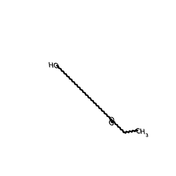 CCCCCCCC/C=C\CCCCCCCC(=O)OCCCCCCCCCCCCCCCCCCCCCCCCCCCCCCCCCCCCCCCCO